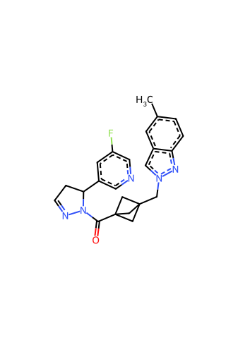 Cc1ccc2nn(CC34CC(C(=O)N5N=CCC5c5cncc(F)c5)(C3)C4)cc2c1